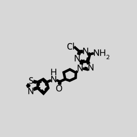 Nc1nc(Cl)nc2c1ncn2C1CCC(C(=O)Nc2ccc3ncsc3c2)CC1